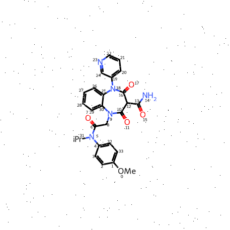 COc1ccc(N(C(=O)CN2C(=O)C(C(N)=O)C(=O)N(c3cccnc3)c3ccccc32)C(C)C)cc1